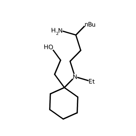 CCCCC(N)CCN(CC)C1(CCO)CCCCC1